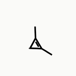 CC1=C(C)[CH]1